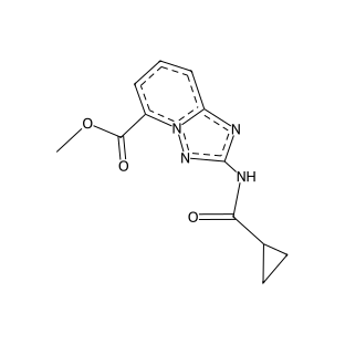 COC(=O)c1cccc2nc(NC(=O)C3CC3)nn12